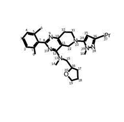 Cc1cccc(C)c1-c1nc2c(c(N(C)CC3CCCO3)n1)CN(c1cc(C(C)C)nn1C)CC2